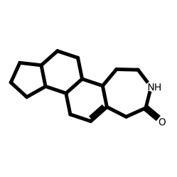 O=C1CC2=CCC3C4CCCC4CCC3C2CCN1